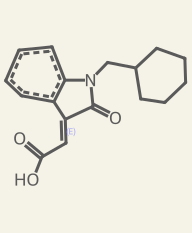 O=C(O)/C=C1/C(=O)N(CC2CCCCC2)c2ccccc21